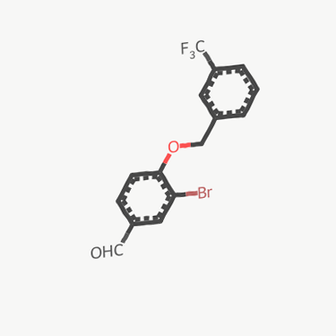 O=Cc1ccc(OCc2cccc(C(F)(F)F)c2)c(Br)c1